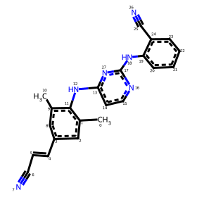 Cc1cc(C=CC#N)cc(C)c1Nc1ccnc(Nc2ccccc2C#N)n1